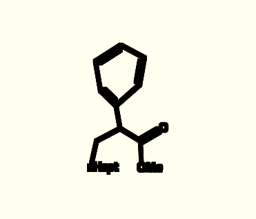 CCCCCCCCC(C(=O)OC)c1ccccc1